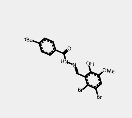 COc1cc(Br)c(Br)c(C=NNC(=O)c2ccc(C(C)(C)C)cc2)c1O